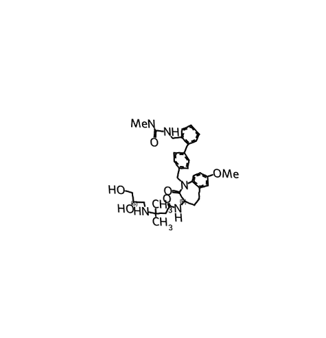 CNC(=O)NCc1ccccc1-c1ccc(CN2C(=O)[C@H](NC(=O)CC(C)(C)NC[C@H](O)CO)CCc3cc(OC)ccc32)cc1